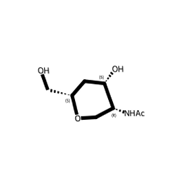 CC(=O)N[C@@H]1CO[C@H](CO)C[C@@H]1O